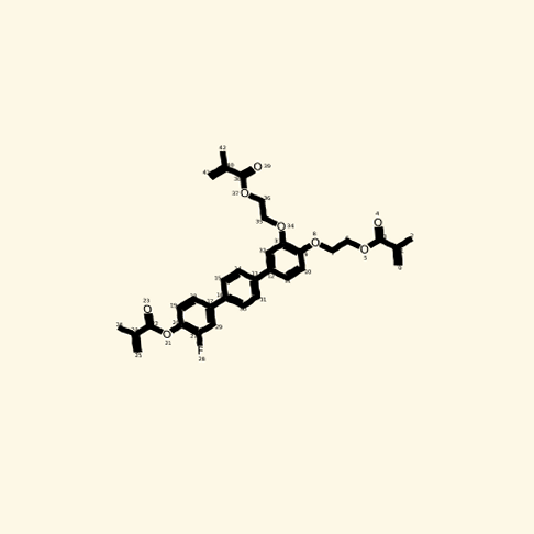 C=C(C)C(=O)OCCOc1ccc(-c2ccc(-c3ccc(OC(=O)C(=C)C)c(F)c3)cc2)cc1OCCOC(=O)C(=C)C